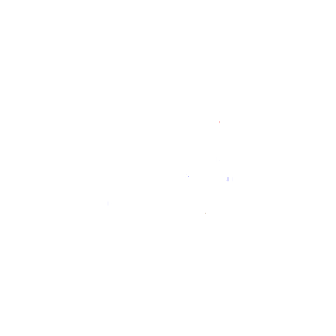 CCc1cc(C2=NNC(S)N2c2ccc3[nH]c(C)c(C)c3c2)c(O)cc1O